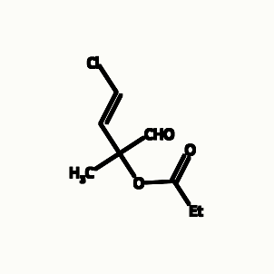 CCC(=O)OC(C)(C=O)/C=C/Cl